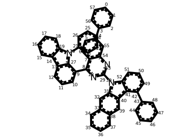 c1ccc(-c2ccc3c(-c4cccc5c6ccccc6n(-c6ccccc6)c45)nc(-n4c5cc6ccccc6cc5c5c(-c6ccccc6)cccc54)nc3c2)cc1